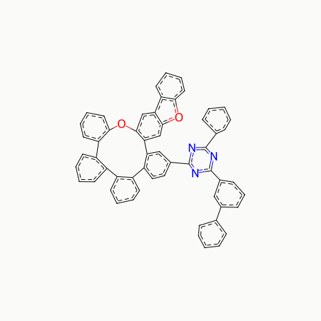 c1ccc(-c2cccc(-c3nc(-c4ccccc4)nc(-c4ccc5c(c4)-c4cc6oc7ccccc7c6cc4Oc4ccccc4-c4ccccc4-c4ccccc4-5)n3)c2)cc1